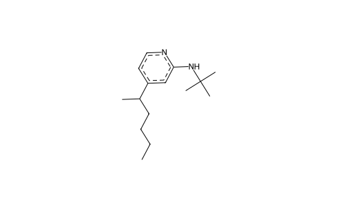 CCCCC(C)c1ccnc(NC(C)(C)C)c1